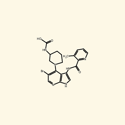 Cc1cccnc1C(=O)Nc1c[nH]c2ncc(Br)c(N3CCCC(NC(=O)O)C3)c12